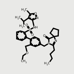 CCCCC1=NC2(CCCC2)C(=O)N1Cc1ccc(-c2ccccc2S(=O)(=O)Nc2noc(C)c2C(C)C)c(COCC)c1